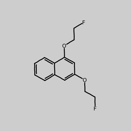 FCCOc1cc(OCCF)c2ccccc2c1